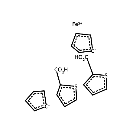 O=C(O)c1cccs1.O=C(O)c1cccs1.[Fe+2].c1cc[cH-]c1.c1cc[cH-]c1